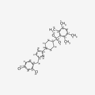 Cc1cc(C)c(C)c(S(=O)(=O)C2CCN(c3nc(Cc4ccc(Cl)cc4Cl)cs3)CC2)c1C